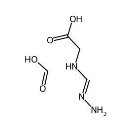 NN=CNCC(=O)O.O=CO